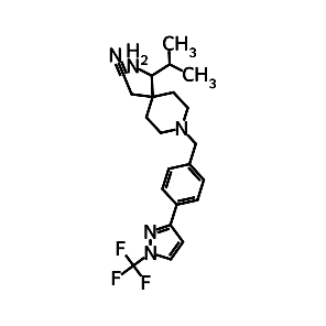 CC(C)C(N)C1(CC#N)CCN(Cc2ccc(-c3ccn(C(F)(F)F)n3)cc2)CC1